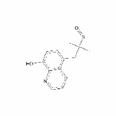 CC(C)(Cc1ccc(O)c2ncccc12)N=O